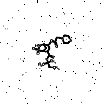 CCC(C)(C)OC(=O)C1CC(OC(=O)CN2CCSCC2)C2CC1S(=O)(=O)N2